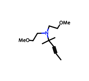 CC#CC(C)(C)N(CCOC)CCOC